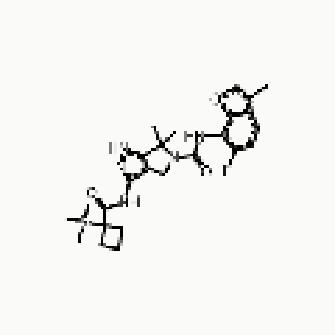 Cc1coc2c(NC(=O)N3Cc4c(NC(=O)C5(S(C)(C)C)CCC5)n[nH]c4C3(C)C)c(F)ccc12